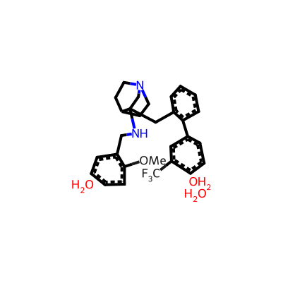 COc1ccccc1CNC1(Cc2ccccc2-c2cccc(C(F)(F)F)c2)CN2CCC1CC2.O.O.O